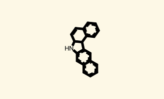 C1=CC2Nc3cc4ccccc4cc3C2c2ccccc21